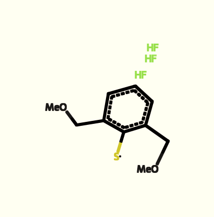 COCc1cccc(COC)c1[S].F.F.F